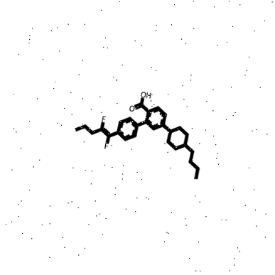 CCCCC1CCC(c2ccc(C(=O)O)c(-c3ccc(C(F)=C(F)CCC)cc3)c2)CC1